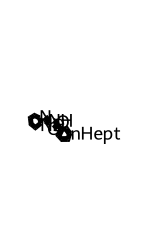 CCCCCCCc1cccc(S(=O)(=O)NC2=NC3CCCCC3N2)c1